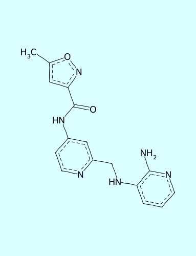 Cc1cc(C(=O)Nc2ccnc(CNc3cccnc3N)c2)no1